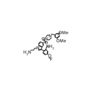 COc1cc(CN2CCN(S(=O)(=O)c3ccc4c(c3)c(-c3ccc(OCF)cc3CN)cn4CCCN)CC2)cc(OC)c1